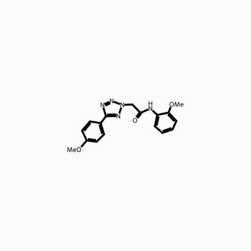 COc1ccc(-c2nnn(CC(=O)Nc3ccccc3OC)n2)cc1